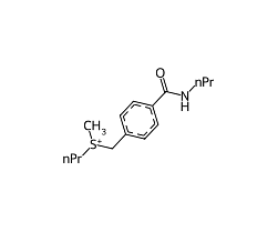 CCCNC(=O)c1ccc(C[S+](C)CCC)cc1